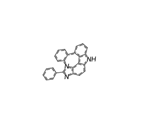 c1ccc(-c2nc3ccc4[nH]c5cccc6c7ccccc7n2c3c4c56)cc1